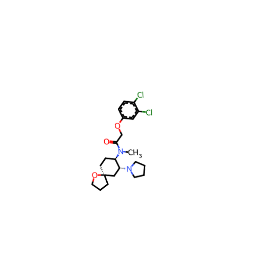 CN(C(=O)COc1ccc(Cl)c(Cl)c1)[C@@H]1CC[C@@]2(CCCO2)C[C@H]1N1CCCC1